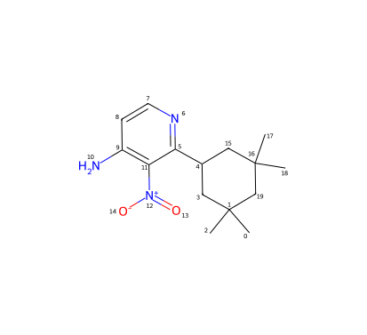 CC1(C)CC(c2nccc(N)c2[N+](=O)[O-])CC(C)(C)C1